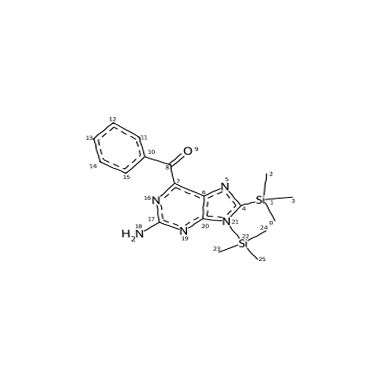 C[Si](C)(C)c1nc2c(C(=O)c3ccccc3)nc(N)nc2n1[Si](C)(C)C